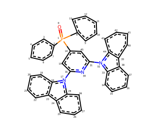 O=P(c1ccccc1)(c1ccccc1)c1cc(-n2c3ccccc3c3ccccc32)nc(-n2c3ccccc3c3ccccc32)c1